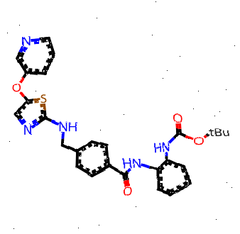 CC(C)(C)OC(=O)Nc1ccccc1NC(=O)c1ccc(CNc2ncc(Oc3cccnc3)s2)cc1